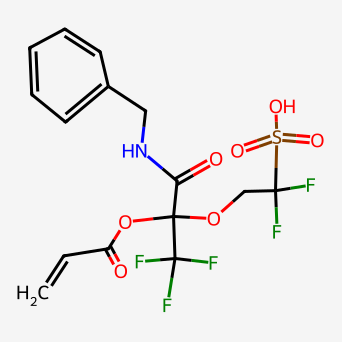 C=CC(=O)OC(OCC(F)(F)S(=O)(=O)O)(C(=O)NCc1ccccc1)C(F)(F)F